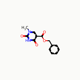 Cn1cc(C(=O)OCc2ccccc2)c(=O)[nH]c1=O